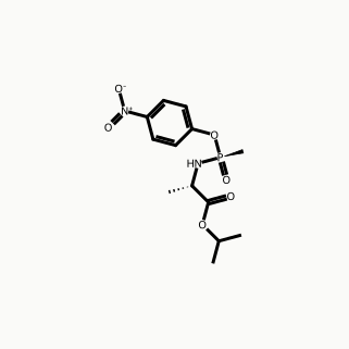 CC(C)OC(=O)[C@H](C)N[P@@](C)(=O)Oc1ccc([N+](=O)[O-])cc1